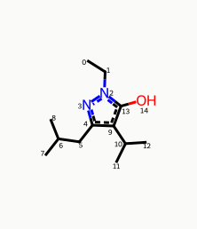 CCn1nc(CC(C)C)c(C(C)C)c1O